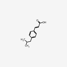 CC(C)Cc1ccc(/C=C/C(=O)O)cc1